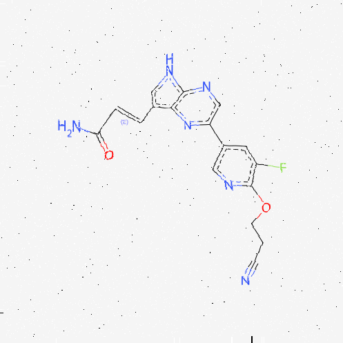 N#CCCOc1ncc(-c2cnc3[nH]cc(/C=C/C(N)=O)c3n2)cc1F